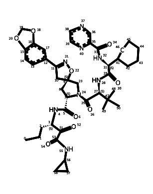 CCC[C@H](NC(=O)[C@@H]1C[C@]2(CC(c3ccc4c(c3)OCO4)=NO2)CN1C(=O)[C@@H](NC(=O)[C@@H](NC(=O)c1cnccn1)C1CCCCC1)C(C)(C)C)C(=O)C(=O)NC1CC1